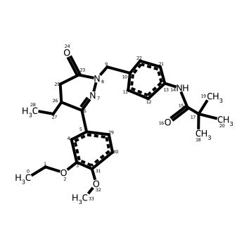 CCOc1cc(C2=NN(Cc3ccc(NC(=O)C(C)(C)C)cc3)C(=O)CC2CC)ccc1OC